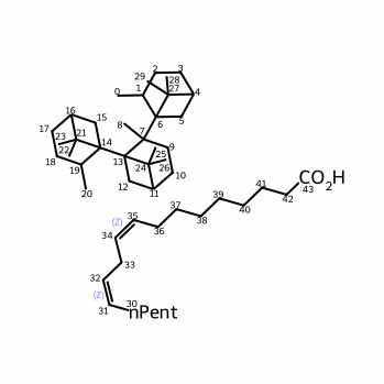 CC1CCC2CC1(C1(C)CCC3CC1(C14CC(CCC1C)C4(C)C)C3(C)C)C2(C)C.CCCCC/C=C\C/C=C\CCCCCCCC(=O)O